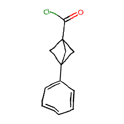 O=C(Cl)C12CC(c3ccccc3)(C1)C2